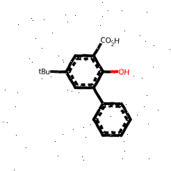 CC(C)(C)c1cc(C(=O)O)c(O)c(-c2ccccc2)c1